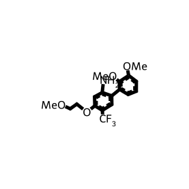 COCCOc1cc(N)c(-c2cccc(OC)c2OC)cc1C(F)(F)F